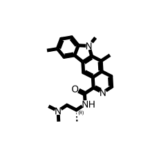 Cc1ccc2c(c1)c1cc3c(C(=O)N[C@H](C)CN(C)C)nccc3c(C)c1n2C